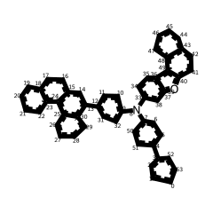 c1ccc(-c2ccc(N(c3ccc(-c4cc5ccc6ccccc6c5c5ccccc45)cc3)c3ccc4c(c3)oc3ccc5ccccc5c34)cc2)cc1